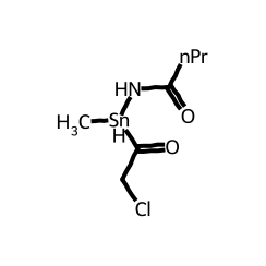 CCCC(=O)[NH][SnH]([CH3])[C](=O)CCl